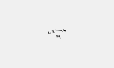 N.N#[C][Au]